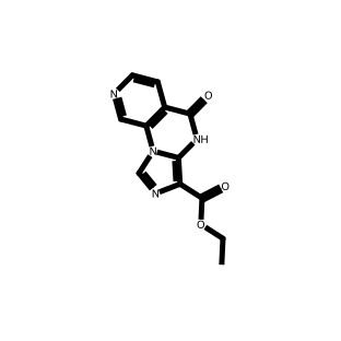 CCOC(=O)c1ncn2c1[nH]c(=O)c1ccncc12